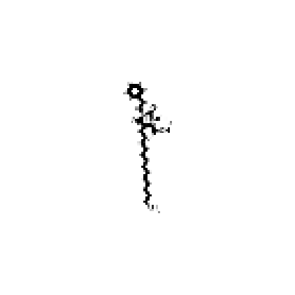 CCCCCCCCCCCCCCC(CC(=O)O)C(=O)N(CCc1ccccc1)C(=O)NC